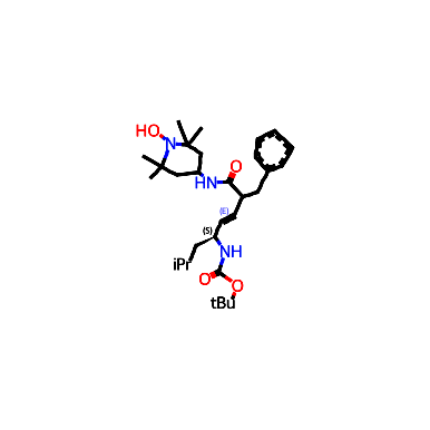 CC(C)C[C@@H](/C=C/C(Cc1ccccc1)C(=O)NC1CC(C)(C)N(O)C(C)(C)C1)NC(=O)OC(C)(C)C